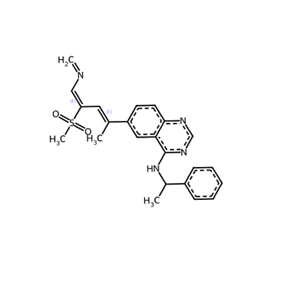 C=N/C=C(\C=C(/C)c1ccc2ncnc(NC(C)c3ccccc3)c2c1)S(C)(=O)=O